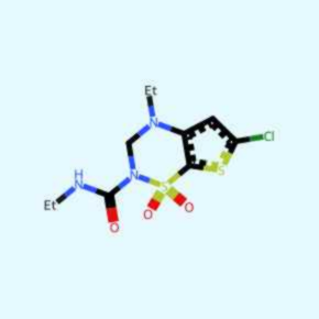 CCNC(=O)N1CN(CC)c2cc(Cl)sc2S1(=O)=O